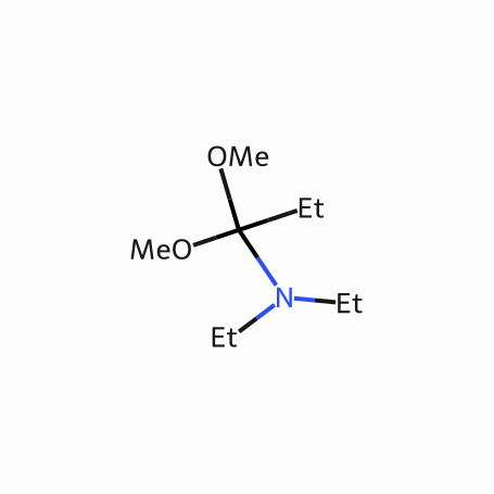 CCN(CC)C(CC)(OC)OC